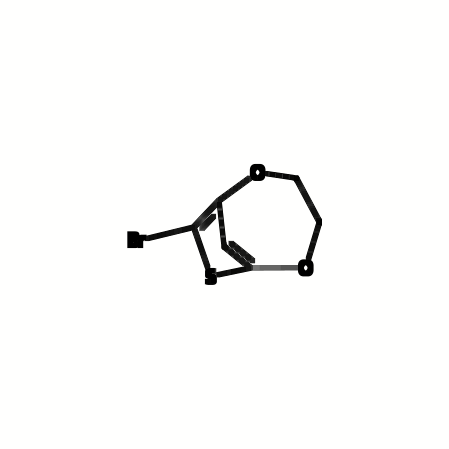 Brc1sc2cc1OCCO2